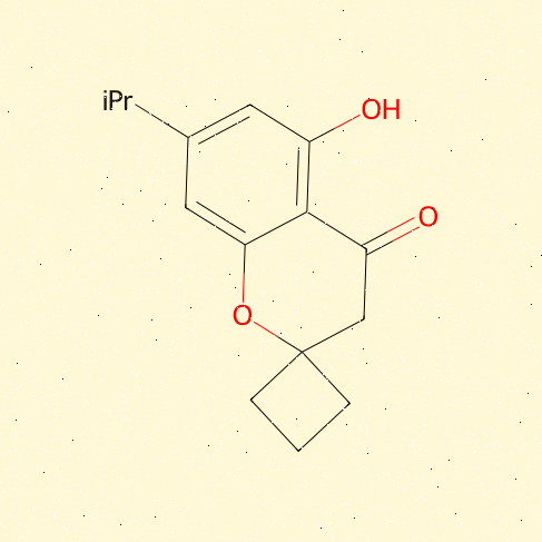 CC(C)c1cc(O)c2c(c1)OC1(CCC1)CC2=O